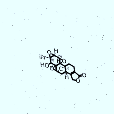 CC(C)[C@]12O[C@H]1[C@@H]1O[C@]13[C@]1(OC1C[C@H]1C4=C(CC[C@@]13C)C(=O)OC4)C2O